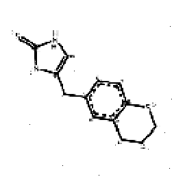 S=C1[N]C(Cc2ccc3c(c2)CCCS3)=CN1